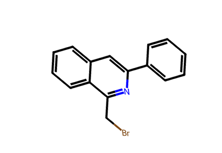 BrCc1nc(-c2ccccc2)cc2ccccc12